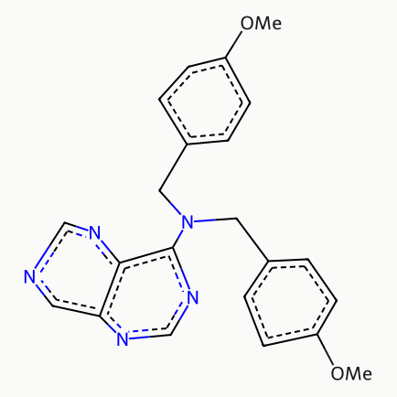 COc1ccc(CN(Cc2ccc(OC)cc2)c2ncnc3cncnc23)cc1